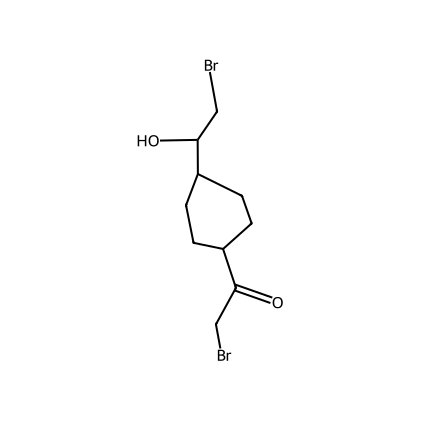 O=C(CBr)C1CCC(C(O)CBr)CC1